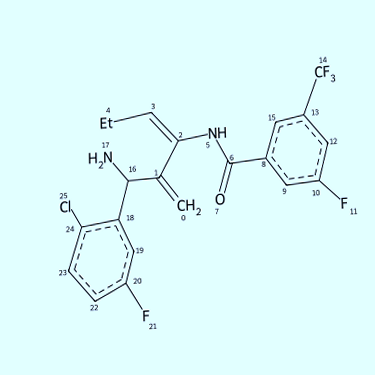 C=C(/C(=C\CC)NC(=O)c1cc(F)cc(C(F)(F)F)c1)C(N)c1cc(F)ccc1Cl